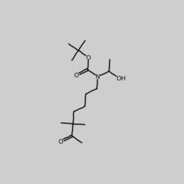 CC(=O)C(C)(C)CCCCN(C(=O)OC(C)(C)C)C(C)O